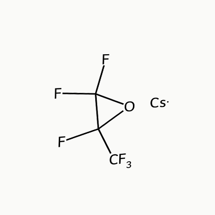 FC(F)(F)C1(F)OC1(F)F.[Cs]